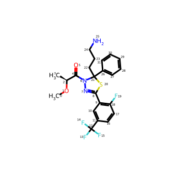 CO[C@@H](C)C(=O)N1N=C(c2cc(C(F)(F)F)ccc2F)SC1(CCCN)c1ccccc1